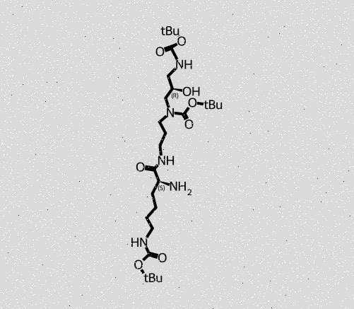 CC(C)(C)OC(=O)NCCCC[C@H](N)C(=O)NCCCN(C[C@H](O)CNC(=O)OC(C)(C)C)C(=O)OC(C)(C)C